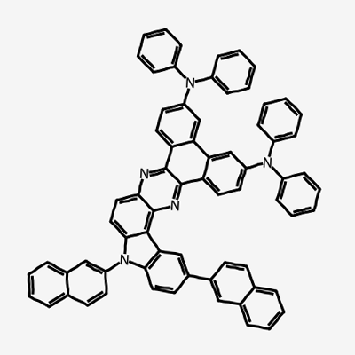 c1ccc(N(c2ccccc2)c2ccc3c(c2)c2cc(N(c4ccccc4)c4ccccc4)ccc2c2nc4c(ccc5c4c4cc(-c6ccc7ccccc7c6)ccc4n5-c4ccc5ccccc5c4)nc32)cc1